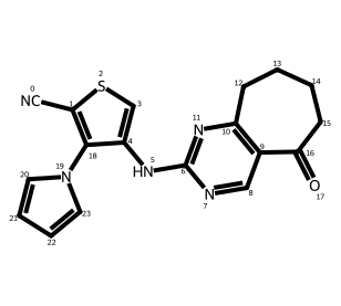 N#Cc1scc(Nc2ncc3c(n2)CCCCC3=O)c1-n1cccc1